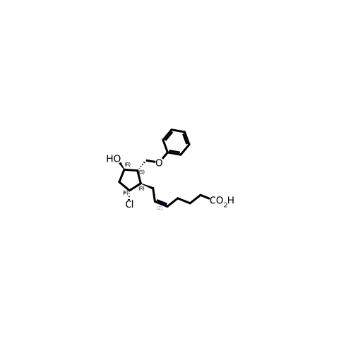 O=C(O)CCC/C=C\C[C@@H]1[C@@H](COc2ccccc2)[C@H](O)C[C@H]1Cl